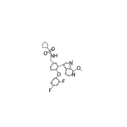 COc1nccc2c(-c3cc(CNS(=O)(=O)C4CCCC4)ccc3Oc3ccc(F)cc3F)cn(C)c12